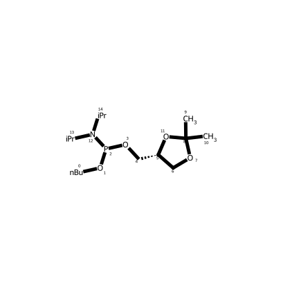 CCCCOP(OC[C@H]1COC(C)(C)O1)N(C(C)C)C(C)C